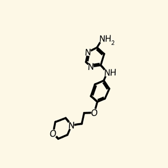 Nc1cc(Nc2ccc(OCCN3CCOCC3)cc2)ncn1